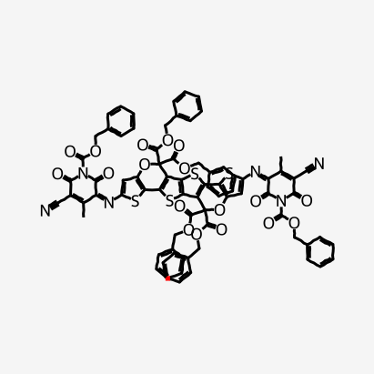 CC1=C(C#N)C(=O)N(C(=O)OCc2ccccc2)C(=O)/C1=N\c1cc2c(s1)-c1sc3c4c(sc3c1C(C(=O)OCc1ccccc1)(C(=O)OCc1ccccc1)O2)-c1sc(/N=C2\C(=O)N(C(=O)OCc3ccccc3)C(=O)C(C#N)=C2C)cc1OC4(C(=O)OCc1ccccc1)C(=O)OCc1ccccc1